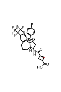 O=C(O)C12CC(C(=O)N[C@@H]3CC[C@@]4(S(=O)(=O)c5ccc(F)cc5)c5ccc(C(F)(C(F)(F)F)C(F)(F)F)cc5CCC[C@@H]34)(C1)C2